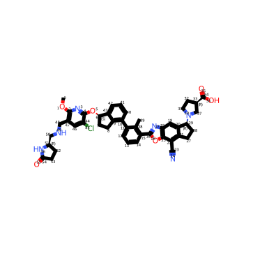 COc1nc(O[C@H]2CCc3c(-c4cccc(-c5nc6cc7c(c(C#N)c6o5)CC[C@H]7N5CC[C@@H](C(=O)O)C5)c4C)cccc32)c(Cl)cc1CNC[C@H]1CCC(=O)N1